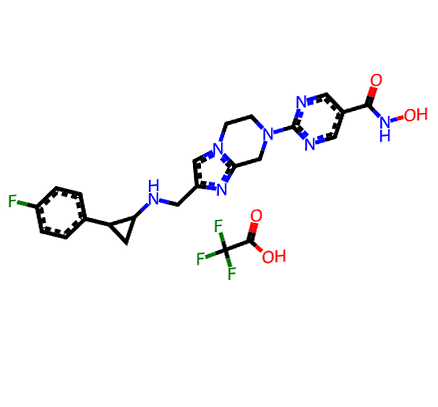 O=C(NO)c1cnc(N2CCn3cc(CNC4CC4c4ccc(F)cc4)nc3C2)nc1.O=C(O)C(F)(F)F